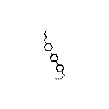 CCCCCOc1ccc(-c2ccc([C@H]3CC[C@H](C/C=C/F)CC3)cc2)cc1